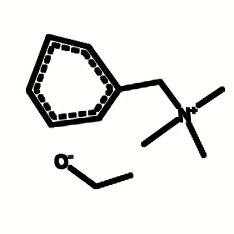 CC[O-].C[N+](C)(C)Cc1ccccc1